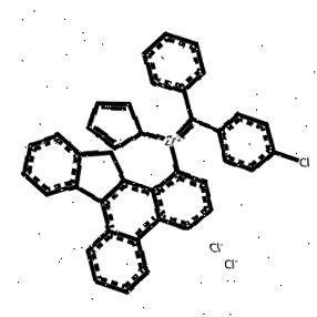 Clc1ccc([C](c2ccccc2)=[Zr+2]([c]2cccc3c2c2c(c4ccccc43)-c3ccccc3C2)[CH]2C=CC=C2)cc1.[Cl-].[Cl-]